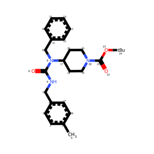 Cc1ccc(CNC(=O)N(Cc2ccccc2)C2CCN(C(=O)OC(C)(C)C)CC2)cc1